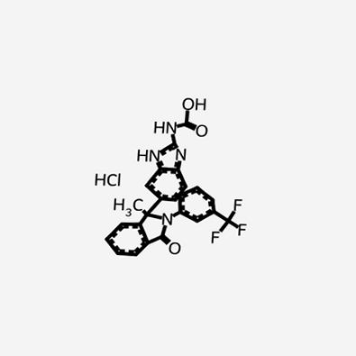 CC1(c2ccc3nc(NC(=O)O)[nH]c3c2)c2ccccc2C(=O)N1c1cccc(C(F)(F)F)c1.Cl